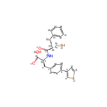 O=C(N[C@@H](Cc1ccc(-c2ccsc2)cc1)C(=O)O)[C@@H](CS)Cc1ccccc1